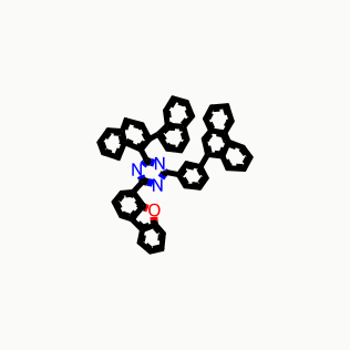 c1cc(-c2nc(-c3c(-c4cccc5ccccc45)ccc4ccccc34)nc(-c3cccc4c3oc3ccccc34)n2)cc(-c2cc3ccccc3c3ccccc23)c1